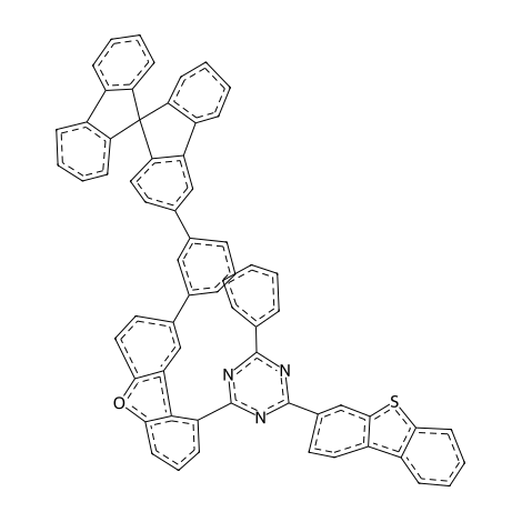 c1ccc(-c2nc(-c3ccc4c(c3)sc3ccccc34)nc(-c3cccc4oc5ccc(-c6cccc(-c7ccc8c(c7)-c7ccccc7C87c8ccccc8-c8ccccc87)c6)cc5c34)n2)cc1